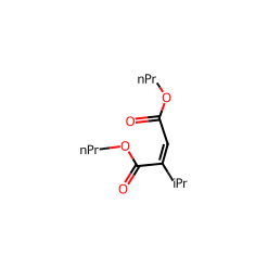 CCCOC(=O)C=C(C(=O)OCCC)C(C)C